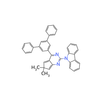 CC1(C)C=c2nc(-n3c4ccccc4c4ccccc43)nc(-c3cc(-c4ccccc4)cc(-c4ccccc4)c3)c2=C1